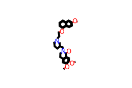 COc1ccc2c(OCCCN3CCCC(CN4CCc5cc(OC)c(OC)cc5C4=O)C3)cccc2c1